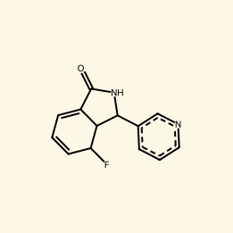 O=C1NC(c2cccnc2)C2C1=CC=CC2F